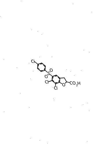 O=C(O)C1Cc2cc(S(=O)(=O)c3ccc(Cl)cc3)c(Cl)c(Cl)c2O1